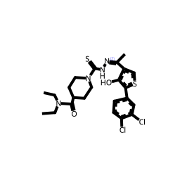 CCN(CC)C(=O)C1CCN(C(=S)N/N=C(/C)c2csc(-c3ccc(Cl)c(Cl)c3)c2O)CC1